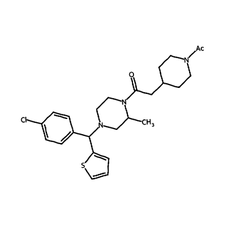 CC(=O)N1CCC(CC(=O)N2CCN(C(c3ccc(Cl)cc3)c3cccs3)CC2C)CC1